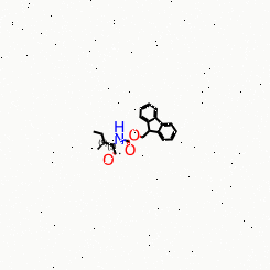 CC[C@H](C)[C@@H]([C]=O)NC(=O)OCC1c2ccccc2-c2ccccc21